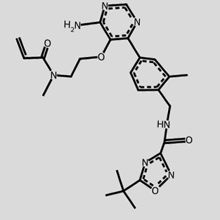 C=CC(=O)N(C)CCOc1c(N)ncnc1-c1ccc(CNC(=O)c2noc(C(C)(C)C)n2)c(C)c1